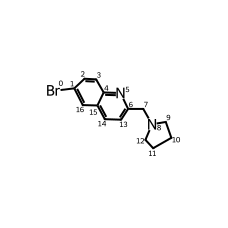 Brc1ccc2nc(CN3CCCC3)ccc2c1